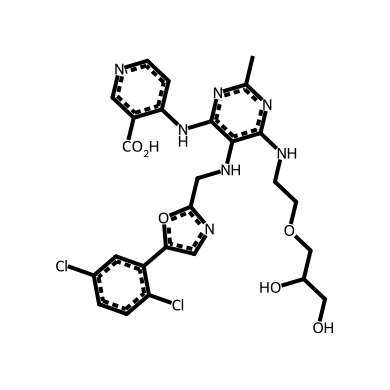 Cc1nc(NCCOCC(O)CO)c(NCc2ncc(-c3cc(Cl)ccc3Cl)o2)c(Nc2ccncc2C(=O)O)n1